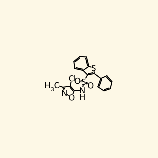 Cc1noc(NS(=O)(=O)c2c(-c3ccccc3)sc3ccccc23)c1Cl